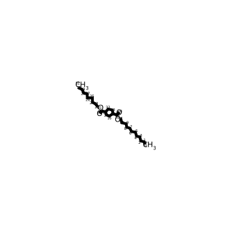 CCCCCCCCCCCCOC(=O)C1CCC(C(=O)OCCCCCCCCCC)CC1